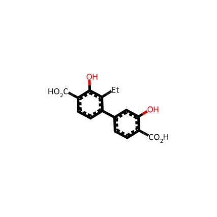 CCc1c(-c2ccc(C(=O)O)c(O)c2)ccc(C(=O)O)c1O